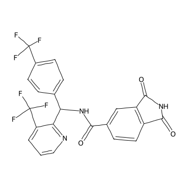 O=C(NC(c1ccc(C(F)(F)F)cc1)c1ncccc1C(F)(F)F)c1ccc2c(c1)C(=O)NC2=O